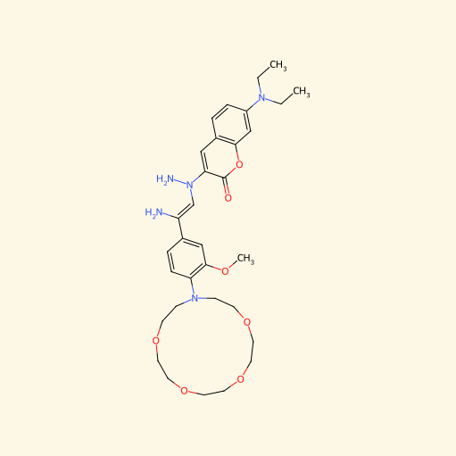 CCN(CC)c1ccc2cc(N(N)/C=C(\N)c3ccc(N4CCOCCOCCOCCOCC4)c(OC)c3)c(=O)oc2c1